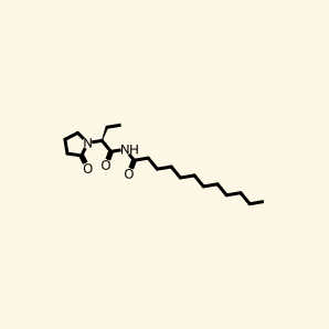 CCCCCCCCCCCC(=O)NC(=O)[C@H](CC)N1CCCC1=O